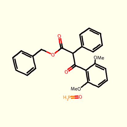 COc1cccc(OC)c1C(=O)C(C(=O)OCc1ccccc1)c1ccccc1.O=[PH3]